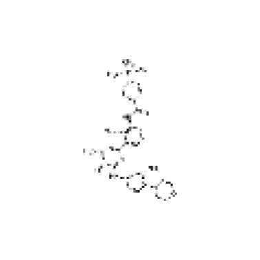 Cc1c(NC(=O)c2ccc(C(C)(C)C)cc2)cccc1-c1cn(C)c(=O)c(Nc2ccc(N3CCOCC3)c(N)c2)n1